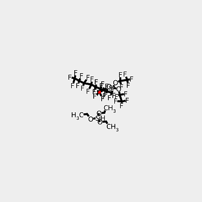 CCO[SiH](OCC)OCC.FC(F)(F)C(F)(F)O[Si](OC(F)(F)C(F)(F)F)(OC(F)(F)C(F)(F)F)C(F)(F)C(F)(F)C(F)(F)C(F)(F)C(F)(F)C(F)(F)C(F)(F)C(F)(F)F